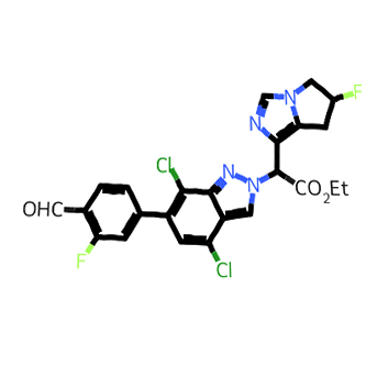 CCOC(=O)C(c1ncn2c1CC(F)C2)n1cc2c(Cl)cc(-c3ccc(C=O)c(F)c3)c(Cl)c2n1